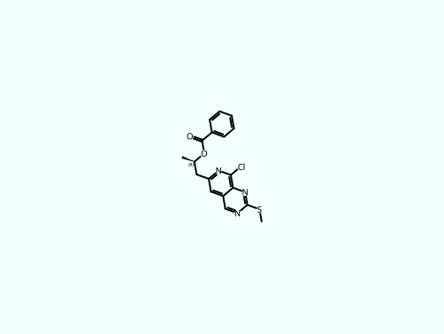 CSc1ncc2cc(C[C@@H](C)OC(=O)c3ccccc3)nc(Cl)c2n1